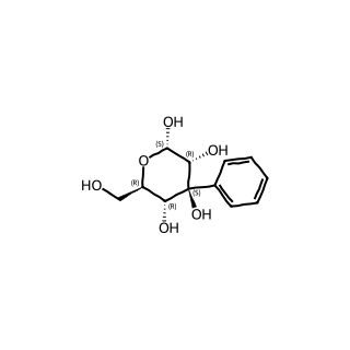 OC[C@H]1O[C@H](O)[C@H](O)[C@](O)(c2ccccc2)[C@@H]1O